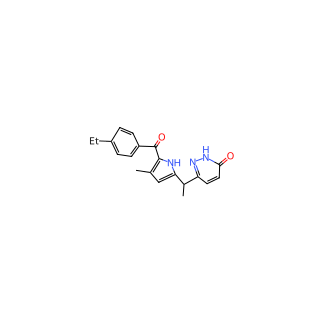 CCc1ccc(C(=O)c2[nH]c(C(C)c3ccc(=O)[nH]n3)cc2C)cc1